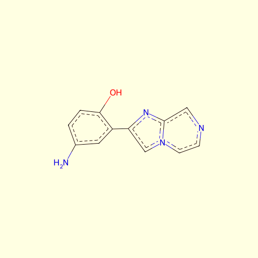 Nc1ccc(O)c(-c2cn3ccncc3n2)c1